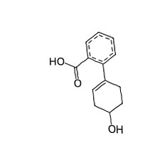 O=C(O)c1ccccc1C1=CCC(O)CC1